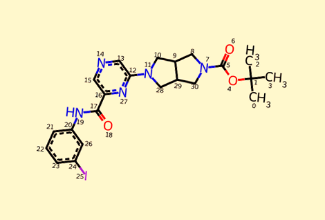 CC(C)(C)OC(=O)N1CC2CN(c3cncc(C(=O)Nc4cccc(I)c4)n3)CC2C1